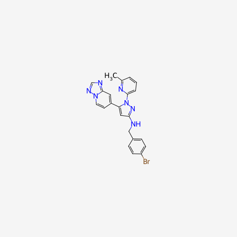 Cc1cccc(-n2nc(NCc3ccc(Br)cc3)cc2-c2ccn3ncnc3c2)n1